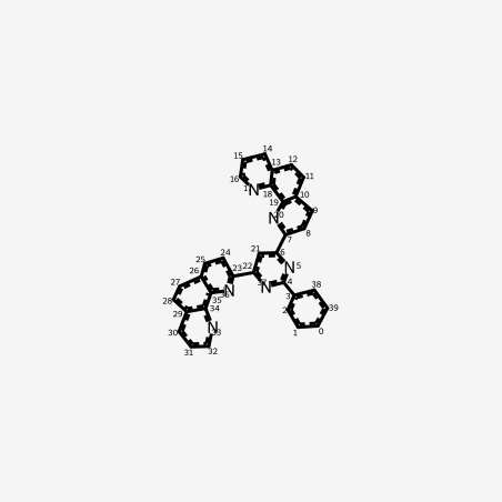 c1ccc(-c2nc(-c3ccc4ccc5cccnc5c4n3)cc(-c3ccc4ccc5cccnc5c4n3)n2)cc1